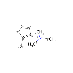 CN(C)C.[Zr][C]1=CC=CC1